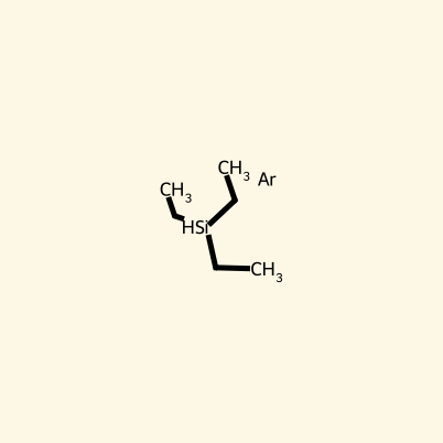 CC[SiH](CC)CC.[Ar]